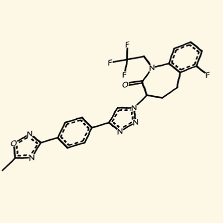 Cc1nc(-c2ccc(-c3cn(C4CCc5c(F)cccc5N(CC(F)(F)F)C4=O)nn3)cc2)no1